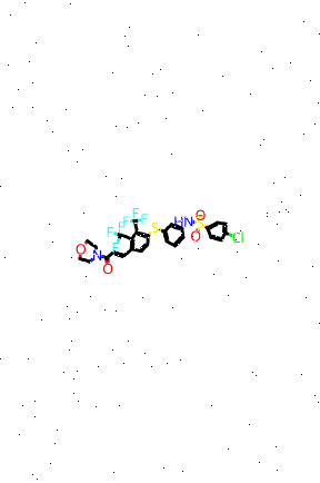 O=C(C=Cc1ccc(Sc2cccc(NS(=O)(=O)c3ccc(Cl)cc3)c2)c(C(F)(F)F)c1C(F)(F)F)N1CCOCC1